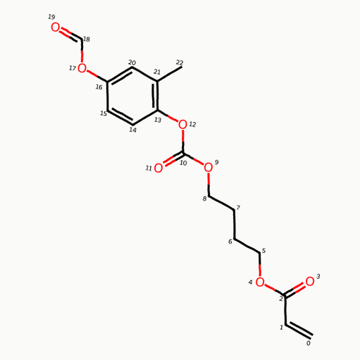 C=CC(=O)OCCCCOC(=O)Oc1ccc(OC=O)cc1C